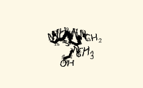 C=Nc1cc(N(C)CCCO)c2sc(-c3ccn[nH]3)cc2n1